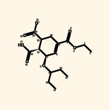 CCOC(=O)C1=C[C@@H](OC(CC)CC)[C@H](C(=O)O)C([N+](=O)[O-])C1